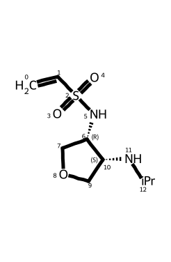 C=CS(=O)(=O)N[C@H]1COC[C@H]1NC(C)C